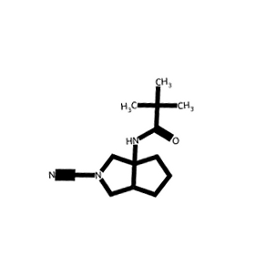 CC(C)(C)C(=O)NC12CCCC1CN(C#N)C2